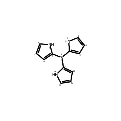 c1c[nH]c(B(c2ccc[nH]2)c2ccc[nH]2)c1